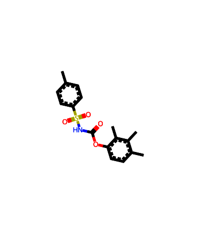 Cc1ccc(S(=O)(=O)NC(=O)Oc2ccc(C)c(C)c2C)cc1